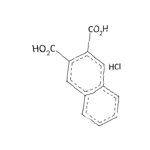 Cl.O=C(O)c1cc2ccccc2cc1C(=O)O